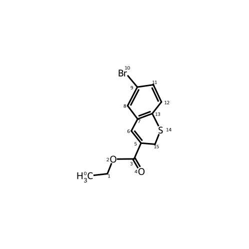 CCOC(=O)C1=Cc2cc(Br)ccc2SC1